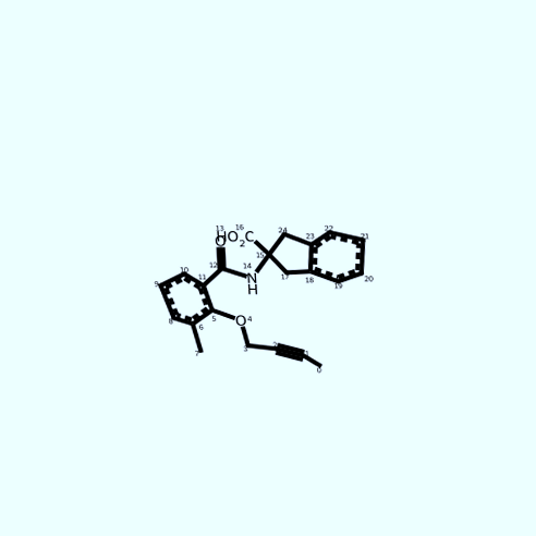 CC#CCOc1c(C)cccc1C(=O)NC1(C(=O)O)Cc2ccccc2C1